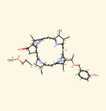 CCC1c2cc3[nH]c4c(c5nc(cc6[nH]c(cc(n2)C1C)c(C(C)OCc1cccc([124I])c1)c6C)[C@@H](C)[C@@H]5CCCOC=O)CC(=O)c4c3C